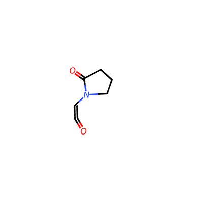 O=C=CN1CCCC1=O